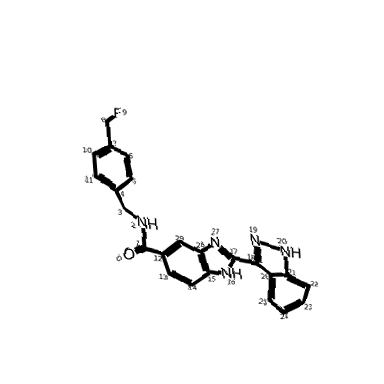 O=C(NCc1ccc(CF)cc1)c1ccc2[nH]c(-c3n[nH]c4ccccc34)nc2c1